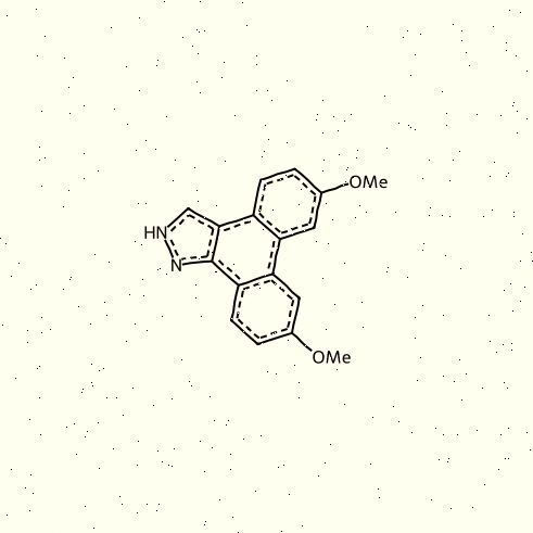 COc1ccc2c(c1)c1cc(OC)ccc1c1n[nH]cc21